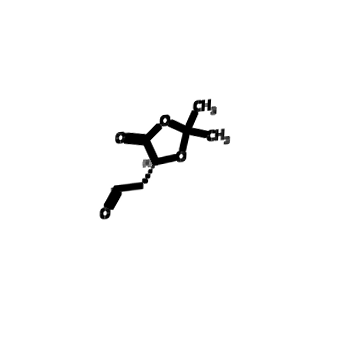 CC1(C)OC(=O)[C@@H](C[C]=O)O1